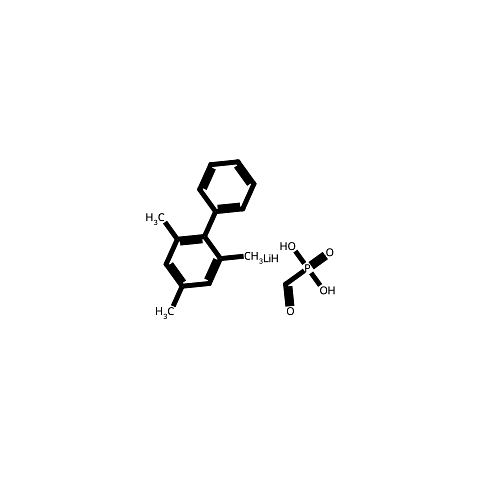 Cc1cc(C)c(-c2ccccc2)c(C)c1.O=CP(=O)(O)O.[LiH]